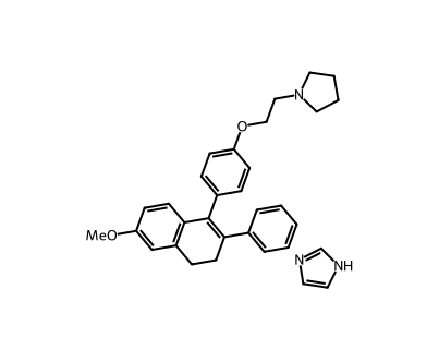 COc1ccc2c(c1)CCC(c1ccccc1)=C2c1ccc(OCCN2CCCC2)cc1.c1c[nH]cn1